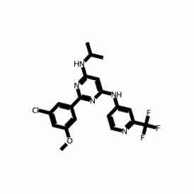 COc1cc(Cl)cc(-c2nc(Nc3ccnc(C(F)(F)F)c3)cc(NC(C)C)n2)c1